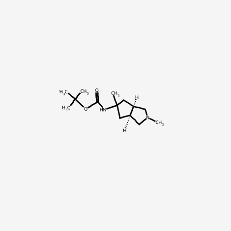 CN1C[C@@H]2CC(C)(NC(=O)OC(C)(C)C)C[C@@H]2C1